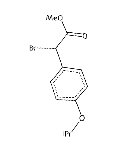 COC(=O)C(Br)c1ccc(OC(C)C)cc1